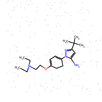 CCN(CC)CCOC1=CC=C(n2nc(C(C)(C)C)cc2N)CC1